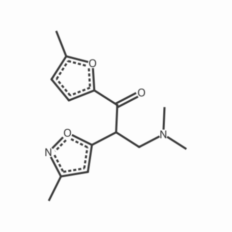 Cc1cc(C(CN(C)C)C(=O)c2ccc(C)o2)on1